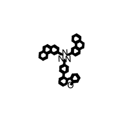 C1=CC2Oc3ccccc3C2C(c2ccc(-c3nc(-c4ccc5c(c4)C4=C(C=CCC4)CC5)nc(-c4ccc5ccc6c(c5c4)C=CCC6)n3)cc2)=C1